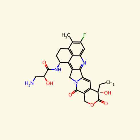 CC[C@@]1(O)C(=O)OCc2c1cc1n(c2=O)Cc2c-1nc1cc(F)c(C)c3c1c2[C@@H](NC(=O)[C@@H](O)CN)CC3